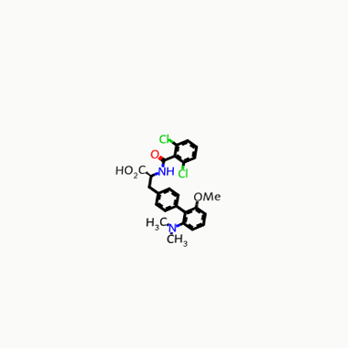 COc1cccc(N(C)C)c1-c1ccc(C[C@H](NC(=O)c2c(Cl)cccc2Cl)C(=O)O)cc1